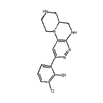 Oc1c(Cl)cccc1-c1cc2c(nn1)NCC1CNCCN21